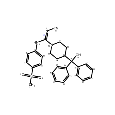 CS(=O)(=O)c1ccc(N/C(=N/C#N)N2CCC(C(O)(c3ccccc3)c3ccccc3)CC2)cc1